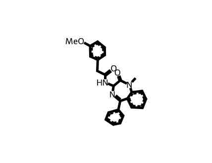 COc1cccc(CC(=O)NC2N=C(c3ccccc3)c3ccccc3N(C)C2=O)c1